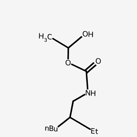 CCCCC(CC)CNC(=O)OC(C)O